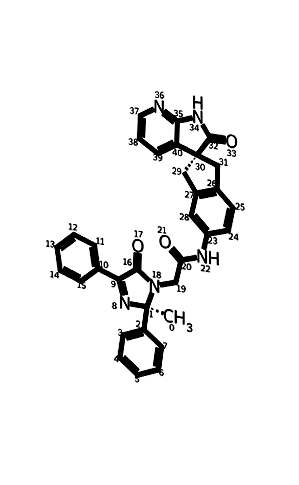 C[C@]1(c2ccccc2)N=C(c2ccccc2)C(=O)N1CC(=O)Nc1ccc2c(c1)C[C@@]1(C2)C(=O)Nc2ncccc21